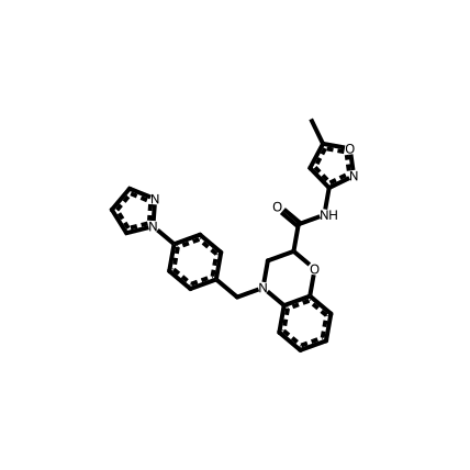 Cc1cc(NC(=O)C2CN(Cc3ccc(-n4cccn4)cc3)c3ccccc3O2)no1